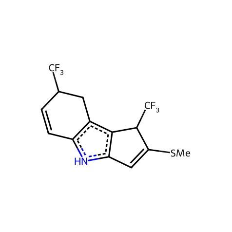 CSC1=Cc2[nH]c3c(c2C1C(F)(F)F)CC(C(F)(F)F)C=C3